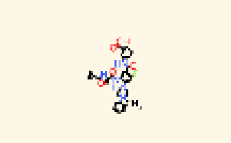 Cc1ccccc1N1CCN(c2cc(F)c(C(=O)N[C@@H]3CCC[C@H](C(=O)O)C3)cc2NC(=O)c2coc(C3CC3)n2)CC1